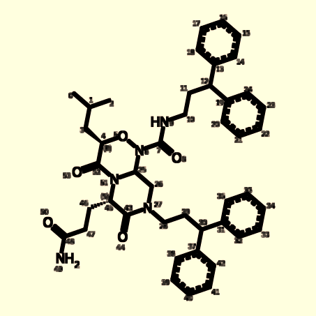 CC(C)C[C@H]1ON(C(=O)NCCC(c2ccccc2)c2ccccc2)C2CN(CCC(c3ccccc3)c3ccccc3)C(=O)[C@H](CCC(N)=O)N2C1=O